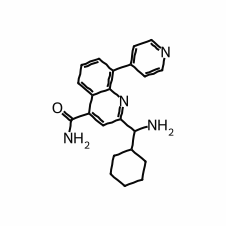 NC(=O)c1cc(C(N)C2CCCCC2)nc2c(-c3ccncc3)cccc12